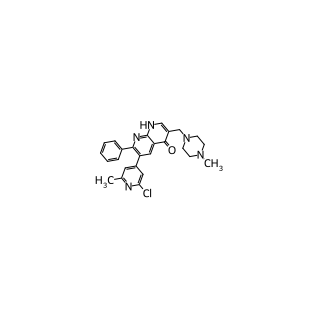 Cc1cc(-c2cc3c(=O)c(CN4CCN(C)CC4)c[nH]c3nc2-c2ccccc2)cc(Cl)n1